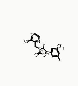 Cc1cc([C@H]2OC(=O)N(Cc3nccnc3Cl)[C@H]2C)cc(C(F)(F)F)c1